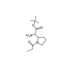 [CH2]CC(=O)N1CCCC1C(N)C(=O)OC(C)(C)C